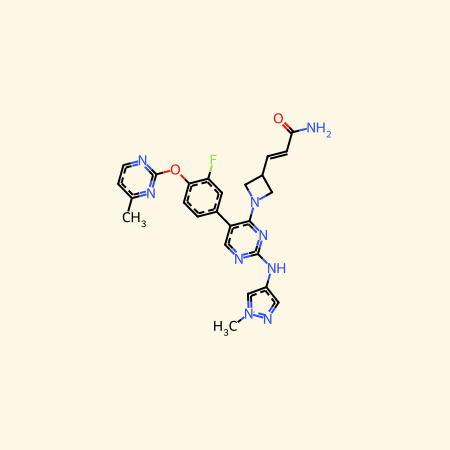 Cc1ccnc(Oc2ccc(-c3cnc(Nc4cnn(C)c4)nc3N3CC(C=CC(N)=O)C3)cc2F)n1